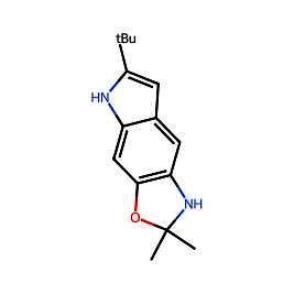 CC1(C)Nc2cc3cc(C(C)(C)C)[nH]c3cc2O1